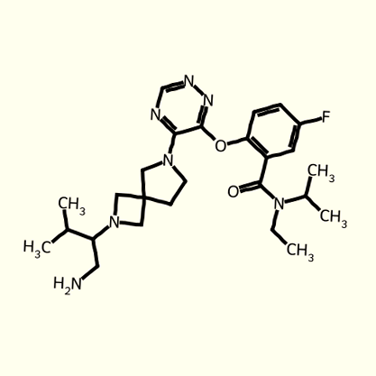 CCN(C(=O)c1cc(F)ccc1Oc1nncnc1N1CCC2(C1)CN(C(CN)C(C)C)C2)C(C)C